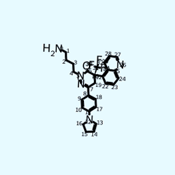 NCCCCN1N=C(c2ccc(N3C=CCC3)cc2)C[C@](c2cccc3ncccc23)(C(F)(F)F)C1=O